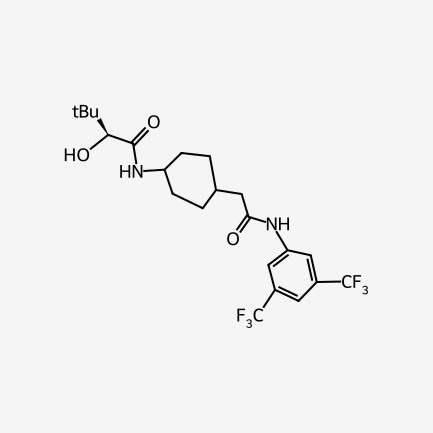 CC(C)(C)[C@H](O)C(=O)NC1CCC(CC(=O)Nc2cc(C(F)(F)F)cc(C(F)(F)F)c2)CC1